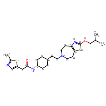 Cc1ncc(CC(=O)N[C@H]2CC[C@H](CCN3CCc4nc(OCC(C)C)sc4CC3)CC2)s1